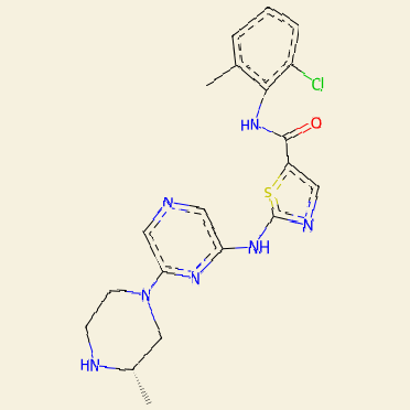 Cc1cccc(Cl)c1NC(=O)c1cnc(Nc2cncc(N3CCN[C@@H](C)C3)n2)s1